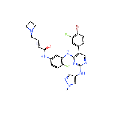 Cn1cc(Nc2ncc(-c3ccc(Br)c(F)c3)c(Nc3cc(NC(=O)/C=C/CN4CCC4)ccc3F)n2)cn1